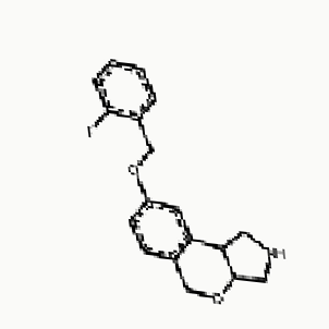 Fc1ccccc1COc1ccc2c(c1)C1CNCC1OC2